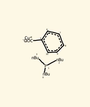 CCCCP(CCCC)CCCC.O=C([O-])c1ccccc1.[Cu+]